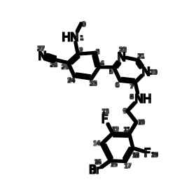 CNc1cc(-c2cc(NCCc3c(F)cc(Br)cc3F)ncn2)ccc1C#N